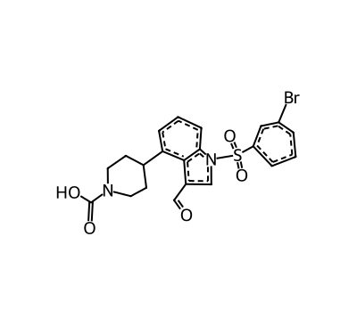 O=Cc1cn(S(=O)(=O)c2cccc(Br)c2)c2cccc(C3CCN(C(=O)O)CC3)c12